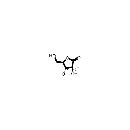 C[C@@]1(O)C(=O)OC(CO)[C@H]1O